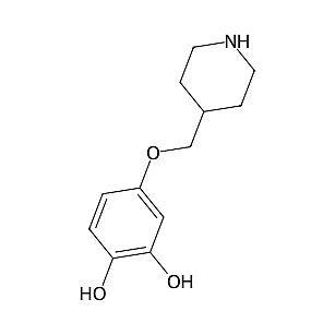 Oc1ccc(OCC2CCNCC2)cc1O